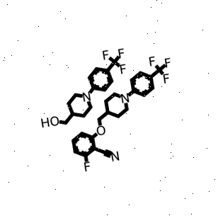 N#Cc1c(F)cccc1OCC1CCN(c2ccc(C(F)(F)F)cc2)CC1.OCC1CCN(c2ccc(C(F)(F)F)cc2)CC1